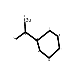 CC([C]1CCCCC1)C(C)(C)C